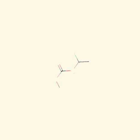 COC(=O)OC(C)Cl